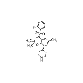 Cc1cc(N2CCNCC2)c2c(c1)N(S(=O)(=O)c1ccccc1F)CC(C)(C)O2